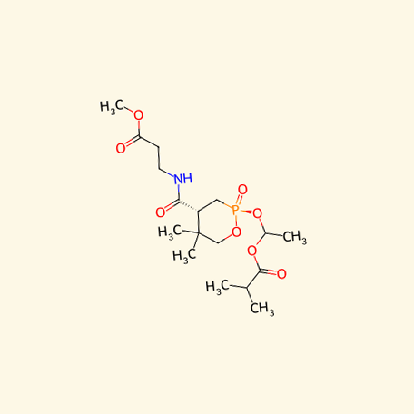 COC(=O)CCNC(=O)[C@@H]1C[P@@](=O)(OC(C)OC(=O)C(C)C)OCC1(C)C